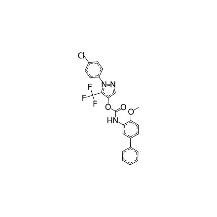 COc1ccc(-c2ccccc2)cc1NC(=O)Oc1cnn(-c2ccc(Cl)cc2)c1C(F)(F)F